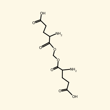 NC(CCC(=O)O)C(=O)OCOC(=O)C(N)CCC(=O)O